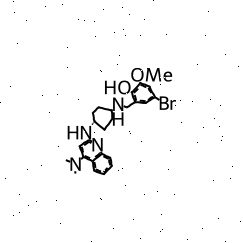 COc1cc(Br)cc(CN[C@H]2CC[C@@H](Nc3cc(N(C)C)c4ccccc4n3)CC2)c1O